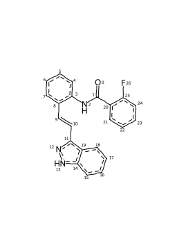 O=C(Nc1ccccc1/C=C/c1n[nH]c2ccccc12)c1ccccc1F